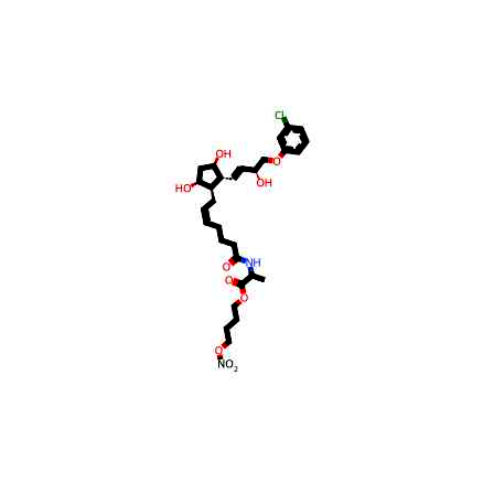 CC(NC(=O)CCC/C=C\C[C@@H]1[C@@H](/C=C/[C@@H](O)COc2cccc(Cl)c2)[C@H](O)C[C@@H]1O)C(=O)OCCCCO[N+](=O)[O-]